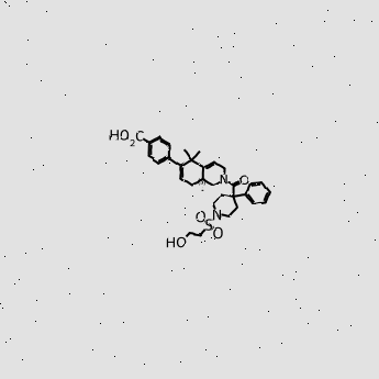 CC1(C)C(c2ccc(C(=O)O)cc2)=CC[C@]2(C)CN(C(=O)C3(c4ccccc4)CCN(S(=O)(=O)CCO)CC3)CC=C12